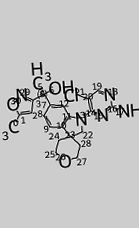 Cc1cc([C@@](C)(O)c2ccc3c(c2)N(c2nc(N)ncc2Cl)CC32CCOCC2)no1